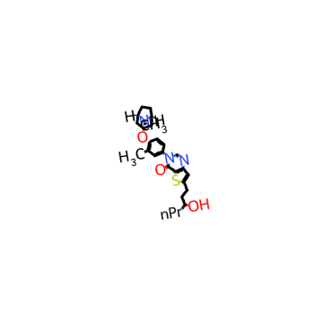 CCCC(O)CCc1cc2ncn(-c3ccc(O[C@H]4C[C@H]5CC[C@@H](C4)N5C)c(C)c3)c(=O)c2s1